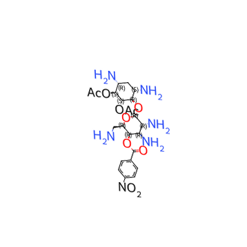 CC(=O)O[C@@H]1[C@@H](OC(C)=O)[C@H](N)C[C@H](N)[C@H]1O[C@H]1O[C@H](CN)[C@H](OC(=O)c2ccc([N+](=O)[O-])cc2)[C@H](N)[C@H]1N